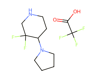 FC1(F)CNCCC1N1CCCC1.O=C(O)C(F)(F)F